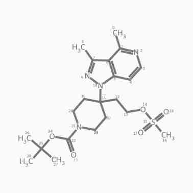 Cc1nccc2c1c(C)nn2C1(CCOS(C)(=O)=O)CCN(C(=O)OC(C)(C)C)CC1